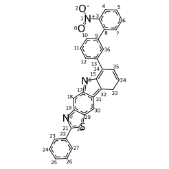 O=[N+]([O-])c1ccccc1-c1cccc(C2=C3N=c4cc5nc(-c6ccccc6)sc5cc4=C3CC=C2)c1